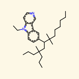 CCCCCCC(C)(C)C(CC(C)(CCC)CCC)c1ccc2c(c1)c1cnccc1n2CC